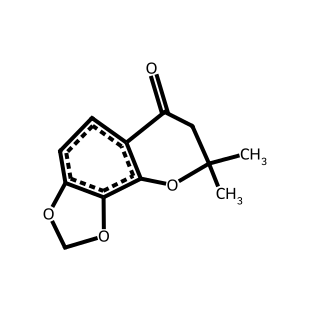 CC1(C)CC(=O)c2ccc3c(c2O1)OCO3